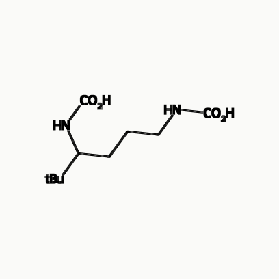 CC(C)(C)C(CCCNC(=O)O)NC(=O)O